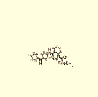 BBC1CC(=O)N(c2ccccc2C(=O)Nc2ccc(Nc3ccccc3)cc2)C1=O